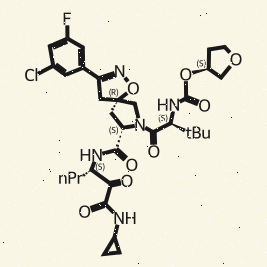 CCC[C@H](NC(=O)[C@@H]1C[C@@]2(CC(c3cc(F)cc(Cl)c3)=NO2)CN1C(=O)[C@@H](NC(=O)O[C@H]1CCOC1)C(C)(C)C)C(=O)C(=O)NC1CC1